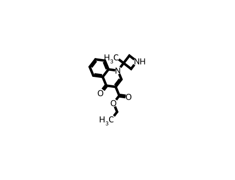 CCOC(=O)c1cn(C2(C)CNC2)c2ccccc2c1=O